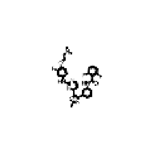 Cc1nc(-c2cccc(NC(=O)c3c(F)cccc3F)c2)c(-c2ccnc(Nc3ccc(OCCN(C)C)c(F)c3)n2)s1